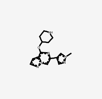 Cn1cc(-c2cn3nccc3c(OC3CCNCC3)n2)cn1